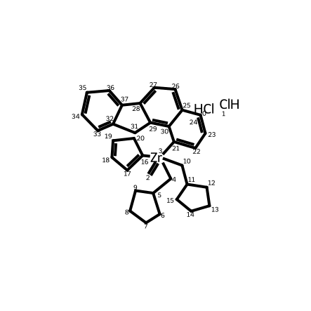 Cl.Cl.[CH2]=[Zr]([CH2]C1CCCC1)([CH2]C1CCCC1)([C]1=CC=CC1)[c]1cccc2ccc3c(c12)Cc1ccccc1-3